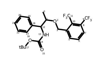 CC(OCc1cccc(C(F)(F)F)c1C(F)(F)F)C(NC(=O)OC(C)(C)C)c1ccccc1